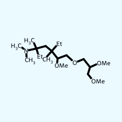 CCC(C)(CC(C)(CC)N(C)C)C(COCC(COC)OC)OC